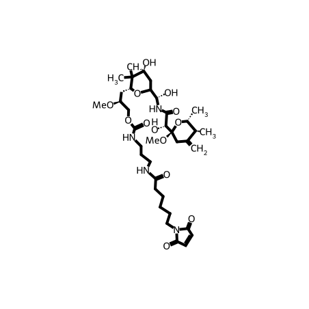 C=C1C[C@](OC)([C@H](O)C(=O)N[C@@H](O)C2C[C@@H](O)C(C)(C)[C@@H](C[C@@H](COC(=O)NCCCNC(=O)CCCCCN3C(=O)C=CC3=O)OC)O2)O[C@H](C)[C@@H]1C